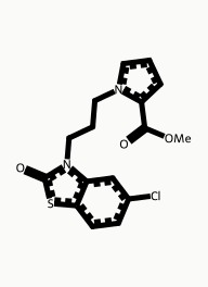 COC(=O)c1cccn1CCCn1c(=O)sc2ccc(Cl)cc21